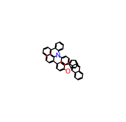 c1ccc(-c2ccccc2N(c2ccc(-c3ccc4ccccc4c3)cc2)c2ccccc2-c2ccc3oc4ccccc4c3c2)cc1